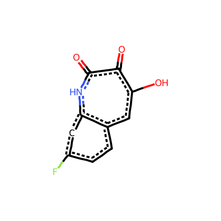 O=c1[nH]c2cc(F)ccc2cc(O)c1=O